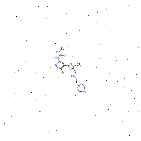 CCNC(=O)Nc1cc(-c2nc(C(F)(F)F)c(CNCCN3CCN(C)CC3)s2)c(Br)cn1